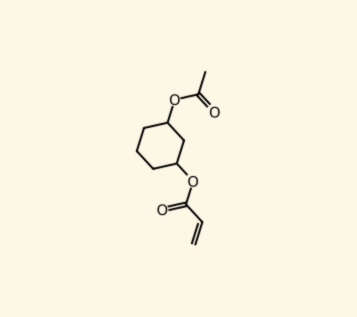 C=CC(=O)OC1CCCC(OC(C)=O)C1